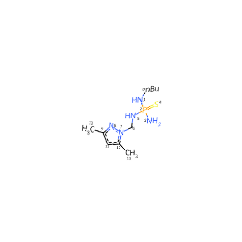 CCCCNP(N)(=S)NCn1nc(C)cc1C